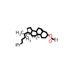 CCC(=O)OC1CC[C@@]2(C)C(=CCC3C2CC[C@@]2(C)C3CC[C@@H]2[C@H](C)CCCC(C)C)C1